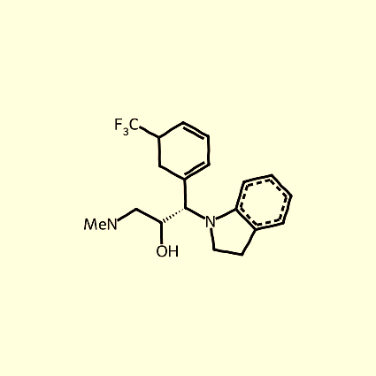 CNCC(O)[C@H](C1=CC=CC(C(F)(F)F)C1)N1CCc2ccccc21